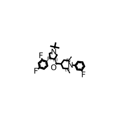 C[C@@H]1CC(C(=O)[C@@H]2CN(C(C)(C)C)C[C@H]2c2ccc(F)cc2F)C[C@H](C)N1c1cccc(F)c1